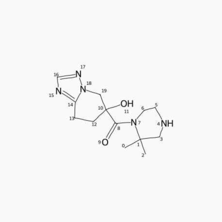 CC1(C)CNCCN1C(=O)C1(O)CCc2ncnn2C1